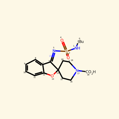 CC(C)(C)NS(=O)(=O)/N=C1/c2ccccc2OC12CCN(C(=O)O)CC2